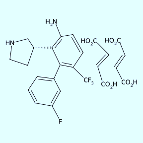 Nc1ccc(C(F)(F)F)c(-c2cccc(F)c2)c1[C@@H]1CCNC1.O=C(O)/C=C/C(=O)O.O=C(O)/C=C/C(=O)O